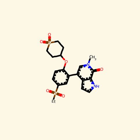 CCS(=O)(=O)c1ccc(OC2CCS(=O)(=O)CC2)c(-c2cn(C)c(=O)c3[nH]ccc23)c1